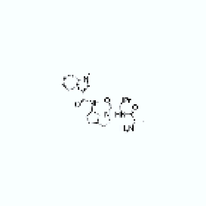 CC(C)C(NC(=O)[C@H](C)N)C(=O)N1CCC2CCC(NC(=O)c3cn(C)c4ccccc34)C21